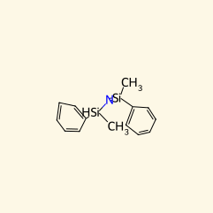 C[Si](=N[SiH](C)c1ccccc1)c1ccccc1